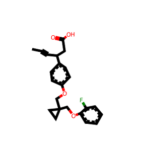 CC#CC(CC(=O)O)c1ccc(OCC2(COc3ccccc3F)CC2)cc1